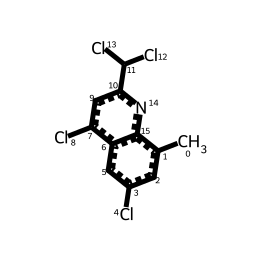 Cc1cc(Cl)cc2c(Cl)cc(C(Cl)Cl)nc12